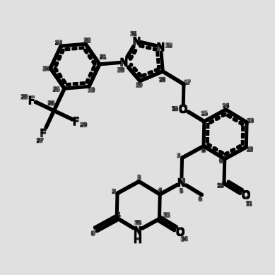 C=C1CCC(N(C)Cc2c(C=O)cccc2OCc2cn(-c3cccc(C(F)(F)F)c3)nn2)C(=O)N1